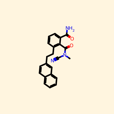 CN(C#N)C(=O)c1c(CCc2ccc3ccccc3c2)cccc1C(N)=O